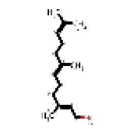 CC(C)=CCC/C(C)=C/CCC(C)=CCBr